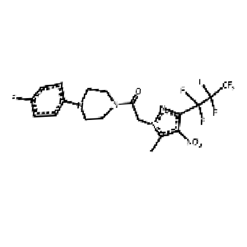 Cc1c([N+](=O)[O-])c(C(F)(F)C(F)(F)C(F)(F)F)nn1CC(=O)N1CCN(c2ccc(F)cc2)CC1